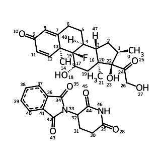 C[C@@H]1C[C@H]2[C@@H]3CCC4=CC(=O)C=C[C@]4(C)[C@@]3(F)[C@@H](O)C[C@]2(C)[C@@]1(O)C(=O)CO.O=C1CCC(N2C(=O)c3ccccc3C2=O)C(=O)N1